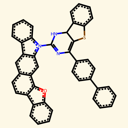 c1ccc(-c2ccc(C3=C4Sc5ccccc5C4NC(n4c5ccccc5c5cc6ccc7c8ccccc8oc7c6cc54)=N3)cc2)cc1